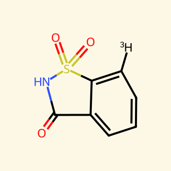 [3H]c1cccc2c1S(=O)(=O)NC2=O